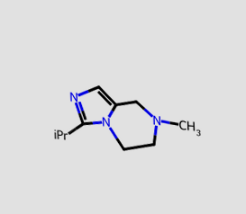 CC(C)c1ncc2n1CCN(C)C2